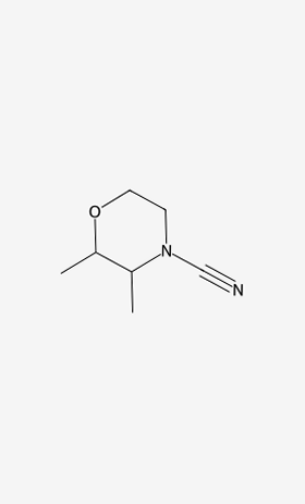 CC1OCCN(C#N)C1C